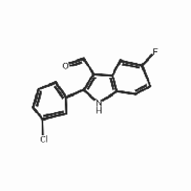 O=Cc1c(-c2cccc(Cl)c2)[nH]c2ccc(F)cc12